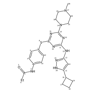 CCC(=O)Nc1ccc(Sc2nc(Nc3cc(C4CCC4)[nH]n3)nc(N3CCN(C)CC3)n2)cc1